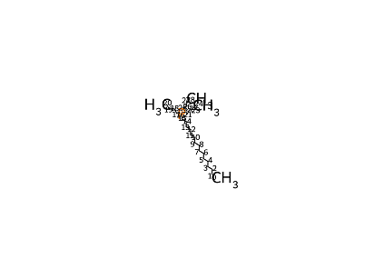 CCCCCCCCCCCCCCCC[P](CCCC)(CCCC)CCCC